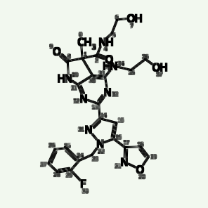 CC1(C(=O)NCCO)C(=O)Nc2nc(-c3cc(-c4ccon4)n(Cc4ccccc4F)n3)nc(NCCO)c21